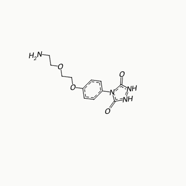 NCCOCCOc1ccc(-n2c(=O)[nH][nH]c2=O)cc1